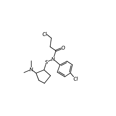 CN(C)C1CCCC1SN(C(=O)CCCl)c1ccc(Cl)cc1